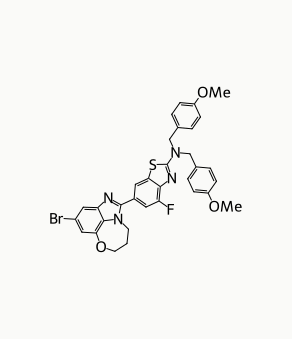 COc1ccc(CN(Cc2ccc(OC)cc2)c2nc3c(F)cc(-c4nc5cc(Br)cc6c5n4CCCO6)cc3s2)cc1